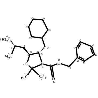 C[C@@H](C[C@@H]1OC(C)(C)N(C(=O)OCc2ccccc2)[C@H]1CC1CCCCC1)C(=O)O